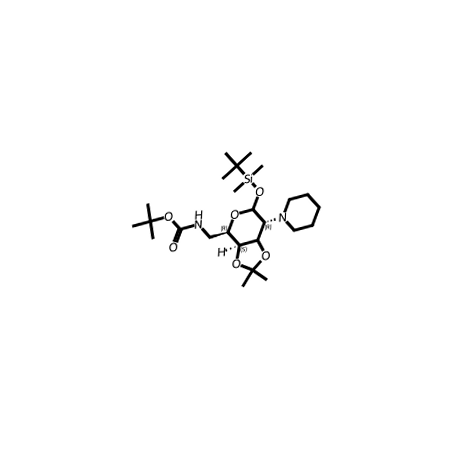 CC(C)(C)OC(=O)NC[C@H]1OC(O[Si](C)(C)C(C)(C)C)[C@H](N2CCCCC2)C2OC(C)(C)O[C@H]21